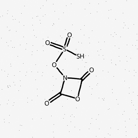 O=C1OC(=O)N1OS(=O)(=O)S